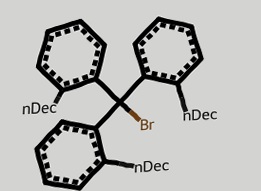 CCCCCCCCCCc1ccccc1C(Br)(c1ccccc1CCCCCCCCCC)c1ccccc1CCCCCCCCCC